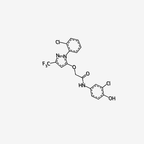 O=C(COc1cc(C(F)(F)F)nn1-c1ccccc1Cl)Nc1ccc(O)c(Cl)c1